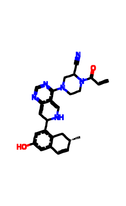 C=CC(=O)N1CCN(c2ncnc3c2=CNC(c2cc(O)cc4c2C[C@H](C)C=C4)C=3)CC1C#N